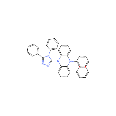 c1ccc(-c2cccc3c2N(c2ccccc2)c2ccccc2N3c2nnc(-c3ccccc3)n2-c2ccccc2)cc1